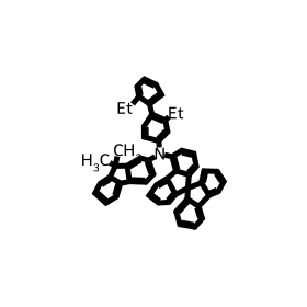 CCc1ccccc1-c1ccc(N(c2ccc3c(c2)C(C)(C)c2ccccc2-3)c2cccc3c2-c2ccccc2C32c3ccccc3-c3ccccc32)cc1CC